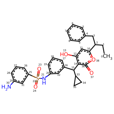 CCC(Cc1ccccc1)c1cc(O)c(C(c2cccc(NS(=O)(=O)c3cccc(N)c3)c2)C2CC2)c(=O)o1